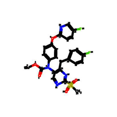 CC(C)(C)OC(=O)N(c1ccc(Oc2ccc(F)cn2)cc1)c1cnc(S(C)(=O)=O)nc1Cc1ccc(F)cc1